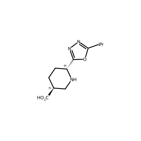 CC(C)c1nnc([C@H]2CC[C@H](C(=O)O)CN2)o1